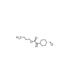 CCCCOC(=O)N[C@H]1CC[C@H](C=O)CC1